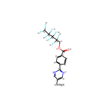 CCCCCCCc1cnc(-c2ccc(C(=O)OCC(F)(F)C(F)(F)C(F)(F)C(F)F)cc2)nc1